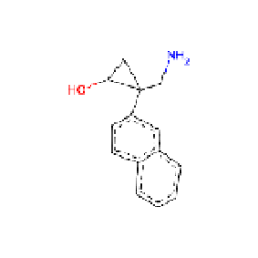 NCC1(c2ccc3ccccc3c2)CC1O